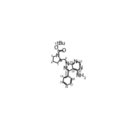 CC(C)(C)OC(=O)N1CCC[C@@H]1Cn1nc(-c2ccccc2)c2c(N)ncnc21